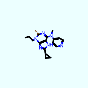 CCCn1c(=S)nc(N(C)c2ccncc2)c2[nH]c(C3CC3)nc21